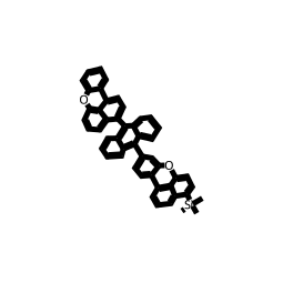 C[Si](C)(C)c1ccc2c3c(cccc13)-c1ccc(-c3c4ccccc4c(-c4ccc5c6c(cccc46)Oc4ccccc4-5)c4ccccc34)cc1O2